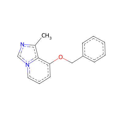 Cc1ncn2cccc(OCc3ccccc3)c12